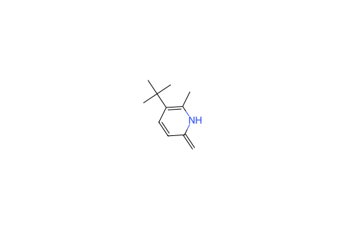 C=C1C=CC(C(C)(C)C)=C(C)N1